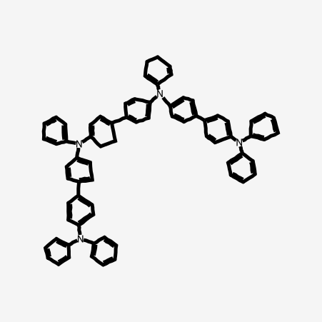 C1=CC(N(c2ccc(C3=CC=C(N(c4ccccc4)c4ccc(-c5ccc(N(c6ccccc6)c6ccccc6)cc5)cc4)CC3)cc2)c2ccc(-c3ccc(N(c4ccccc4)c4ccccc4)cc3)cc2)=CCC1